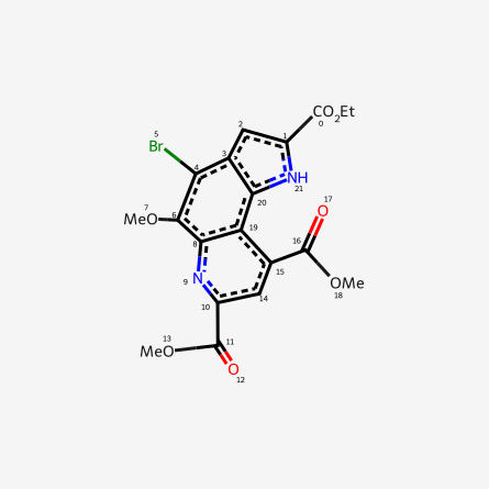 CCOC(=O)c1cc2c(Br)c(OC)c3nc(C(=O)OC)cc(C(=O)OC)c3c2[nH]1